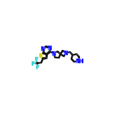 FC(F)(F)Cc1cc2c(N3CCC4(CN(CC5CCNCC5)C4)C3)ncnc2s1